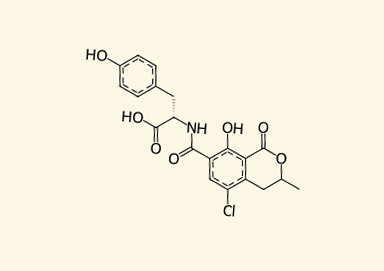 CC1Cc2c(Cl)cc(C(=O)N[C@@H](Cc3ccc(O)cc3)C(=O)O)c(O)c2C(=O)O1